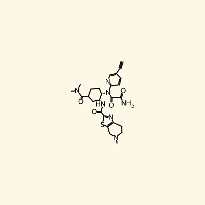 C#Cc1ccc(N(C(=O)C(N)=O)[C@H]2CC[C@H](C(=O)N(C)C)C[C@H]2NC(=O)c2nc3c(s2)CN(C)CC3)nc1